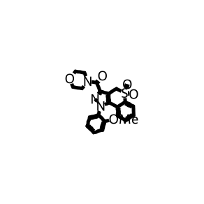 COc1ccccc1-n1nc(C(=O)N2CCOCC2)c2c1-c1ccccc1S(=O)(=O)C2